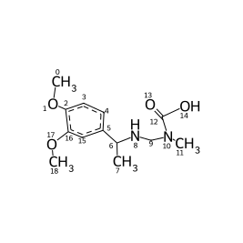 COc1ccc(C(C)NCN(C)C(=O)O)cc1OC